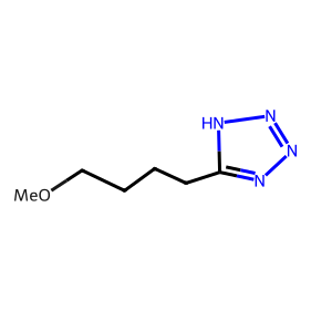 [CH2]OCCCCc1nnn[nH]1